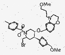 COCCCN1CCOc2ccc(CO[C@H]3CN(S(=O)(=O)c4ccc(C)cc4)[C@H](CBr)C[C@@H]3c3ccc(COC)cc3)cc21